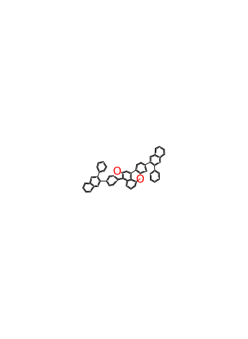 c1ccc(-c2cc3ccccc3cc2-c2ccc3c(c2)Oc2cccc4c2c-3cc2oc3cc(-c5cc6ccccc6cc5-c5ccccc5)ccc3c24)cc1